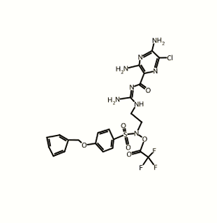 NC(=NC(=O)c1nc(Cl)c(N)nc1N)NCCN(OC(=O)C(F)(F)F)S(=O)(=O)c1ccc(OCc2ccccc2)cc1